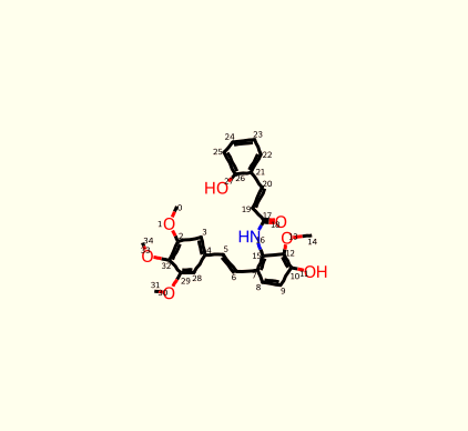 COc1cc(C=Cc2ccc(O)c(OC)c2NC(=O)/C=C/c2ccccc2O)cc(OC)c1OC